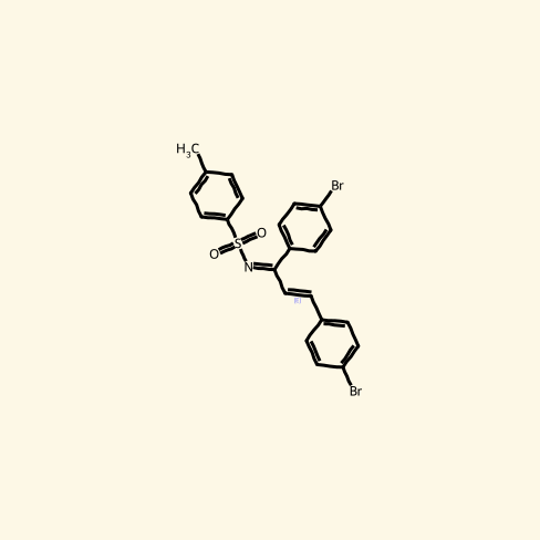 Cc1ccc(S(=O)(=O)N=C(/C=C/c2ccc(Br)cc2)c2ccc(Br)cc2)cc1